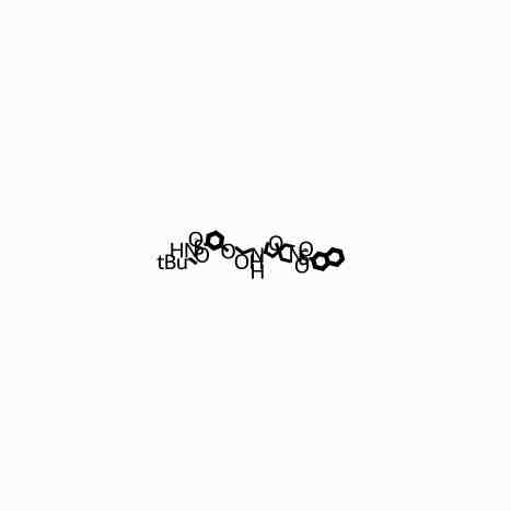 C[C@@H](NS(=O)(=O)c1cccc(OC[C@@H](O)CNC2COC3(CCN(S(=O)(=O)c4ccc5ccccc5c4)CC3)C2)c1)C(C)(C)C